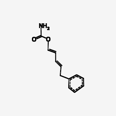 NC(=O)OC=CC=CCc1ccccc1